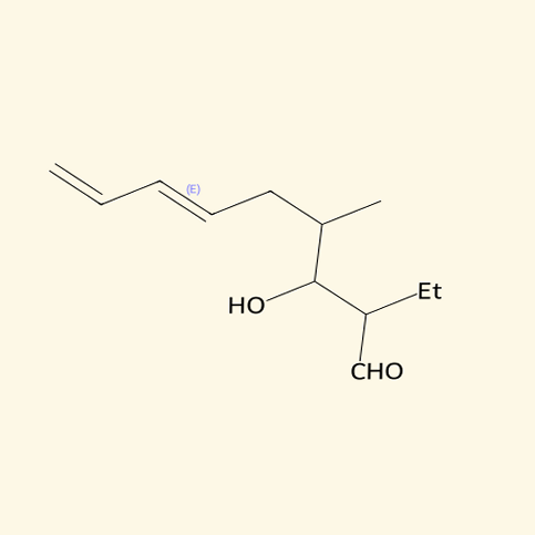 C=C/C=C/CC(C)C(O)C(C=O)CC